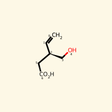 C=C[C@@H](CO)CC(=O)O